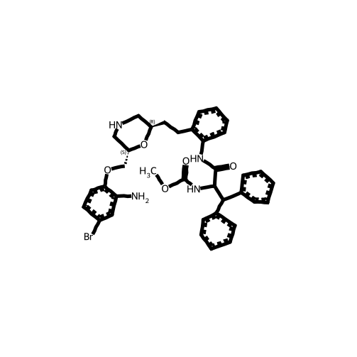 COC(=O)NC(C(=O)Nc1ccccc1CC[C@@H]1CNC[C@@H](COc2ccc(Br)cc2N)O1)C(c1ccccc1)c1ccccc1